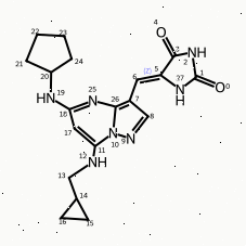 O=C1NC(=O)/C(=C/c2cnn3c(NCC4CC4)cc(NC4CCCC4)nc23)N1